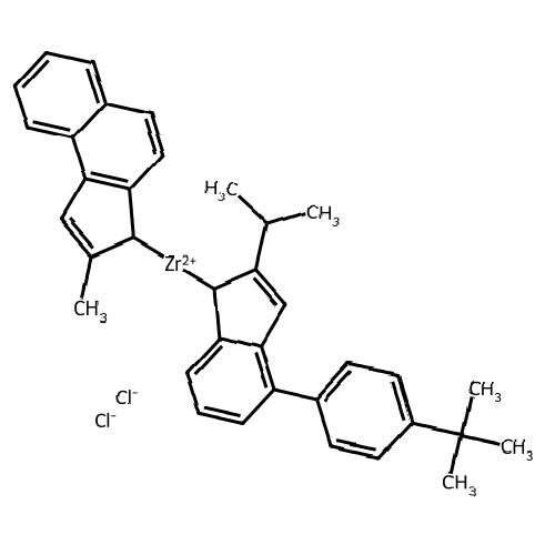 CC1=Cc2c(ccc3ccccc23)[CH]1[Zr+2][CH]1C(C(C)C)=Cc2c(-c3ccc(C(C)(C)C)cc3)cccc21.[Cl-].[Cl-]